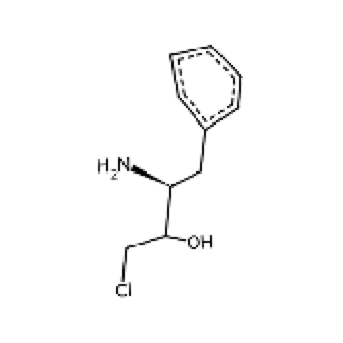 N[C@@H](Cc1ccccc1)C(O)CCl